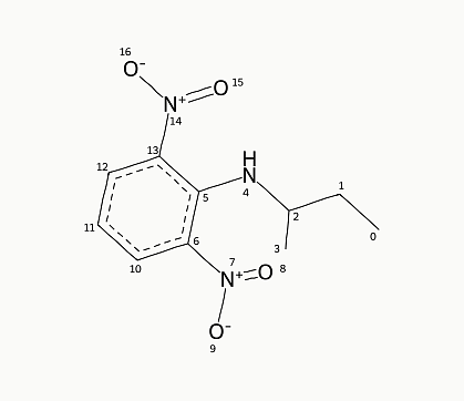 CCC(C)Nc1c([N+](=O)[O-])cccc1[N+](=O)[O-]